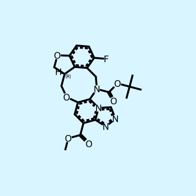 COC(=O)c1cc2c(n3cnnc13)N(C(=O)OC(C)(C)C)Cc1c(F)ccc3c1[C@H](CO3)CO2